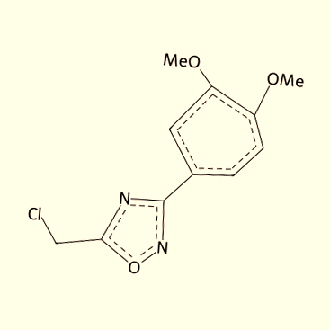 COc1ccc(-c2noc(CCl)n2)cc1OC